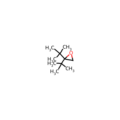 CC(C)(C)C1(C(C)(C)C)CO1